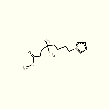 COC(=O)CCC(C)(C)CCCCn1ccnc1